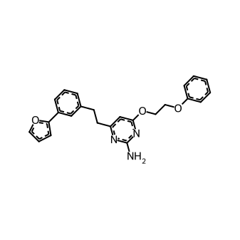 Nc1nc(CCc2cccc(-c3ccco3)c2)cc(OCCOc2ccccc2)n1